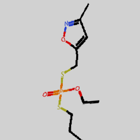 CCCSP(=O)(OCC)SCc1cc(C)no1